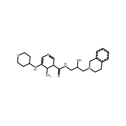 CC1C(NC2CCOCC2)=CN=CC1C(=O)NCC(O)CN1CCc2ccccc2C1